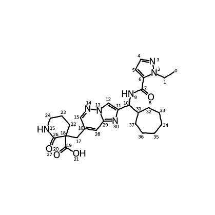 CCn1nccc1C(=O)NC(c1cn2ncc(CC3(C(=O)O)CCCNC3=O)cc2n1)C1CCCCCC1